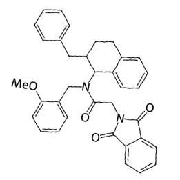 COc1ccccc1CN(C(=O)CN1C(=O)c2ccccc2C1=O)C1c2ccccc2CCC1Cc1ccccc1